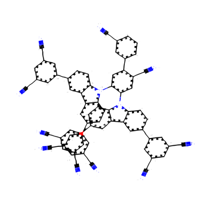 N#Cc1cc(C#N)cc(-c2ccc3c(c2)c2cc(-c4cc(C#N)cc(C#N)c4)ccc2n3-c2cc(C#N)c(-c3cccc(C#N)c3)cc2-n2c3ccc(-c4cc(C#N)cc(C#N)c4)cc3c3cc(-c4cc(C#N)cc(C#N)c4)ccc32)c1